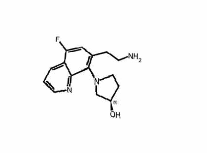 NCCc1cc(F)c2cccnc2c1N1CC[C@@H](O)C1